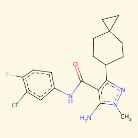 Cn1nc(C2CCC3(CC2)CC3)c(C(=O)Nc2ccc(F)c(Cl)c2)c1N